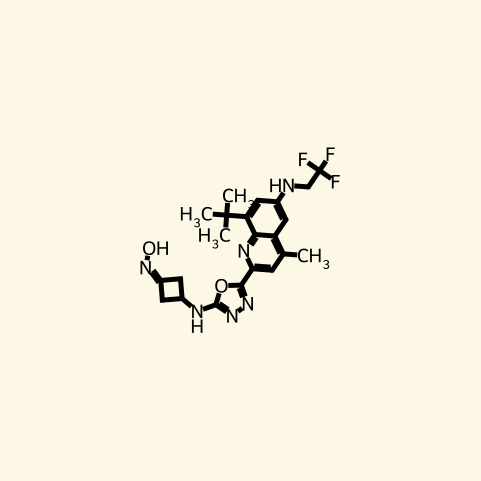 Cc1cc(-c2nnc(NC3CC(=NO)C3)o2)nc2c(C(C)(C)C)cc(NCC(F)(F)F)cc12